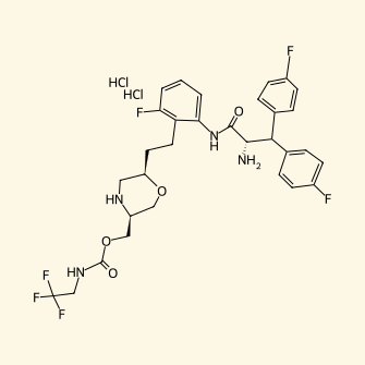 Cl.Cl.N[C@H](C(=O)Nc1cccc(F)c1CC[C@@H]1CN[C@H](COC(=O)NCC(F)(F)F)CO1)C(c1ccc(F)cc1)c1ccc(F)cc1